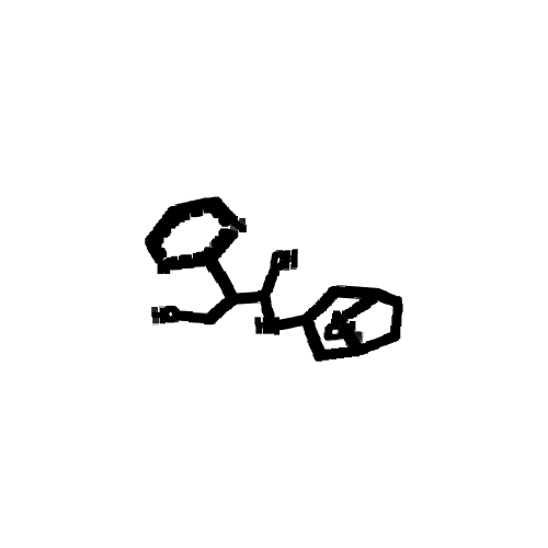 CN1C2CCC1CC(NC(O)C(CO)c1ncccn1)C2